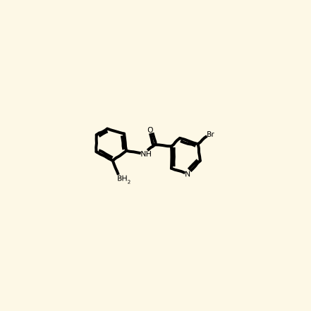 Bc1ccccc1NC(=O)c1cncc(Br)c1